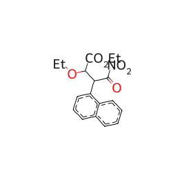 CCOC(=O)C(OCC)C(C(=O)[N+](=O)[O-])c1cccc2ccccc12